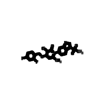 Cc1cc(OCc2ccc(F)cc2F)c(Cl)c(=O)n1-c1ccc2c(c1)ncn2S(C)(=O)=O